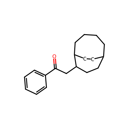 O=C(CC1CCC2CCCCC1CC2)c1ccccc1